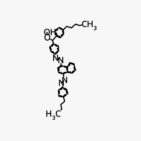 CCCCCc1ccc(C(OO)c2ccc(N=Nc3ccc(N=Nc4ccc(CCCC)cc4)c4ccccc34)cc2)cc1